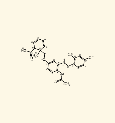 CC(=O)Nc1ccc(OCC2(C)C=CC=CC2C(=O)O)cc1NCc1ccc(Cl)cc1Cl